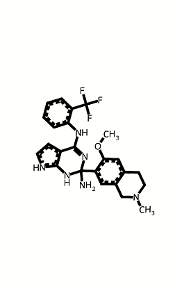 COc1cc2c(cc1C1(N)N=C(Nc3ccccc3C(F)(F)F)c3cc[nH]c3N1)CN(C)CC2